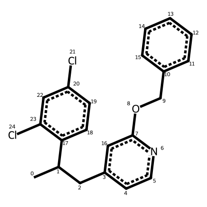 CC(Cc1ccnc(OCc2ccccc2)c1)c1ccc(Cl)cc1Cl